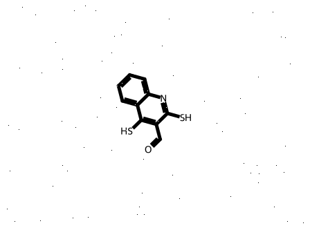 O=Cc1c(S)nc2ccccc2c1S